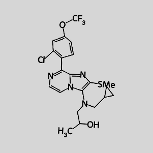 CSc1nc2c(-c3ccc(OC(F)(F)F)cc3Cl)nccn2c1N(CC(C)O)CC1CC1